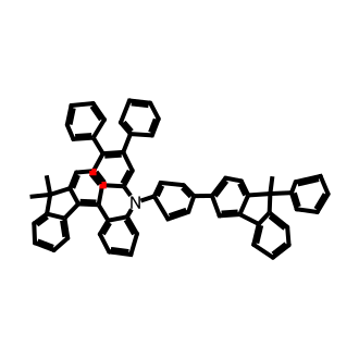 CC1(C)c2ccccc2-c2c(-c3ccccc3N(c3ccc(-c4ccc5c(c4)-c4ccccc4C5(C)c4ccccc4)cc3)c3ccc(-c4ccccc4)c(-c4ccccc4)c3)cccc21